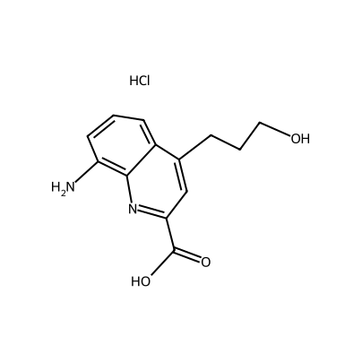 Cl.Nc1cccc2c(CCCO)cc(C(=O)O)nc12